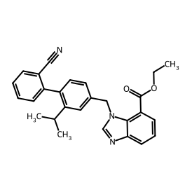 CCOC(=O)c1cccc2ncn(Cc3ccc(-c4ccccc4C#N)c(C(C)C)c3)c12